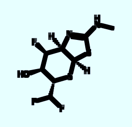 CNC1=N[C@H]2[C@@H](S1)S[C@H](C(F)F)[C@@H](O)[C@H]2F